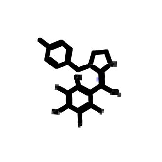 Cc1ccc(CN2CCN/C2=C(/c2c(F)c(F)c(C#N)c(F)c2C#N)[N+](=O)[O-])cc1